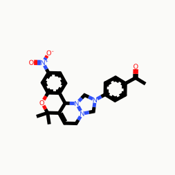 CC(=O)c1ccc(N2CN3CC=C4C(c5ccc([N+](=O)[O-])cc5OC4(C)C)N3C2)cc1